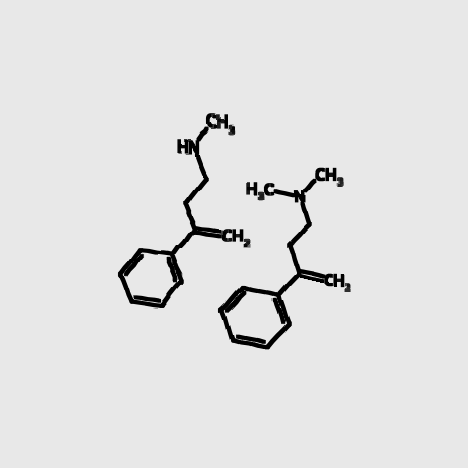 C=C(CCN(C)C)c1ccccc1.C=C(CCNC)c1ccccc1